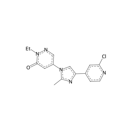 CCn1ncc(-n2cc(-c3ccnc(Cl)c3)nc2C)cc1=O